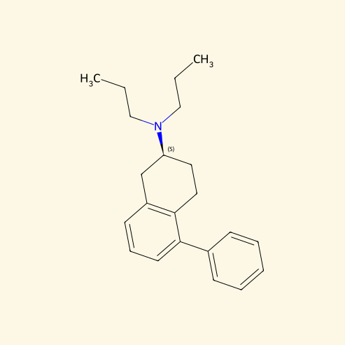 CCCN(CCC)[C@H]1CCc2c(cccc2-c2ccccc2)C1